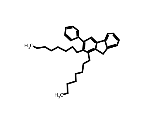 CCCCCCCCc1c(-c2ccccc2)cc2c(c1CCCCCCCC)Cc1ccccc1-2